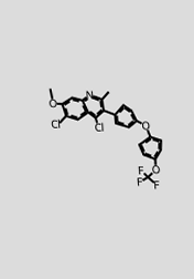 COc1cc2nc(C)c(-c3ccc(Oc4ccc(OC(F)(F)F)cc4)cc3)c(Cl)c2cc1Cl